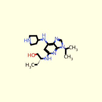 CC[C@H](CO)Nc1cc(NC2CCNCC2)c2ncn(C(C)C)c2n1